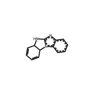 C1=CC2Nc3nc4ccccc4n3C2C=C1